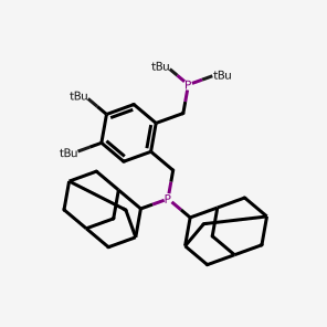 CC(C)(C)c1cc(CP(C2C3CC4CC(C3)CC2C4)C2C3CC4CC(C3)CC2C4)c(CP(C(C)(C)C)C(C)(C)C)cc1C(C)(C)C